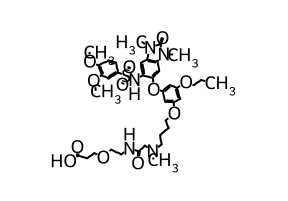 CCCOc1cc(OCCCCN(C)CC(=O)NCCOCCC(=O)O)cc(Oc2cc3c(cc2NS(=O)(=O)c2ccc(OC)c(OC)c2)n(C)c(=O)n3C)c1